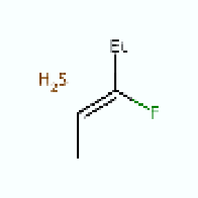 CC=C(F)CC.S